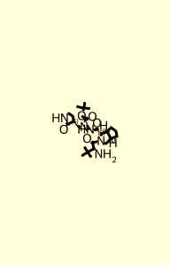 CC(C)(C)OC(=O)N(C[C@@H]1CCNC1=O)NC(=O)[C@@H]1[C@H]2CCC[C@H]2CN1C(=O)C(N)C(C)(C)C